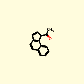 CC(=O)C1C=Cc2ccc3ccccc3c21